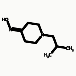 C[C](C)CN1CCC(=NO)CC1